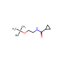 CC(C)(C)[Si](C)(C)OCCNC(=O)C1CC1